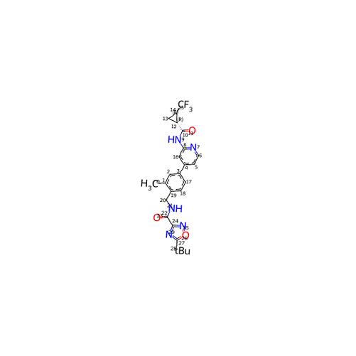 Cc1cc(-c2ccnc(NC(=O)[C@@H]3C[C@H]3C(F)(F)F)c2)ccc1CNC(=O)c1noc(C(C)(C)C)n1